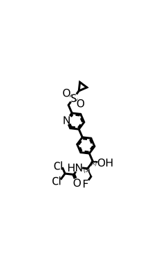 O=C(N[C@H](CF)[C@H](O)c1ccc(-c2ccc(CS(=O)(=O)C3CC3)nc2)cc1)C(Cl)Cl